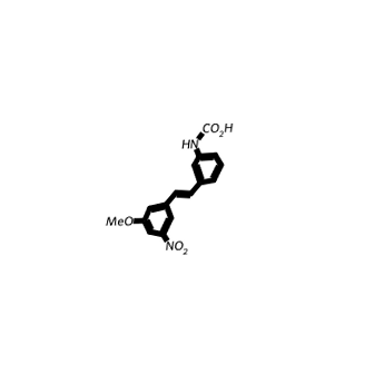 COc1cc(C=Cc2cccc(NC(=O)O)c2)cc([N+](=O)[O-])c1